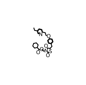 CCc1ccc(CCOc2ccc(CC3SC(=O)N(COC(=O)C4CCCCC4)C3=O)cc2)nc1